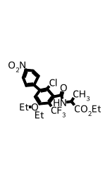 CCOC(=O)C(C)NC(=O)c1c(C(F)(F)F)ccc(-c2ccc([N+](=O)[O-])cc2)c1Cl.CCOCC